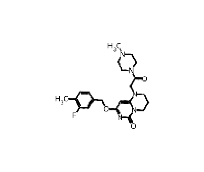 Cc1ccc(COc2cc3n(c(=O)n2)CCCN3CC(=O)N2CCN(C)CC2)cc1F